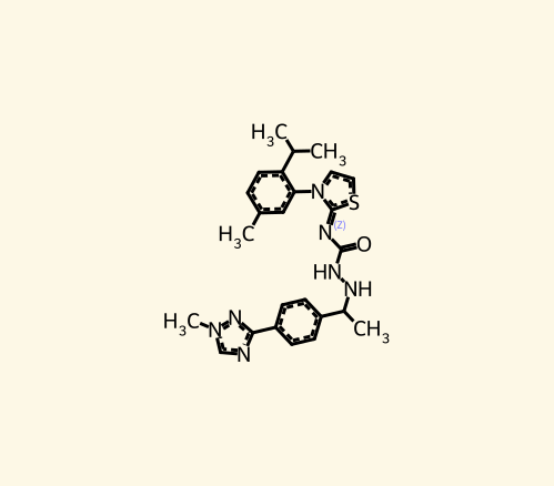 Cc1ccc(C(C)C)c(-n2ccs/c2=N\C(=O)NNC(C)c2ccc(-c3ncn(C)n3)cc2)c1